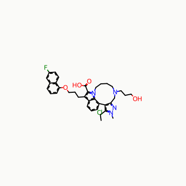 CCc1c2c(nn1C)CN(CCCO)CCCCn1c(C(=O)O)c(CCCOc3cccc4cc(F)ccc34)c3ccc(Cl)c-2c31